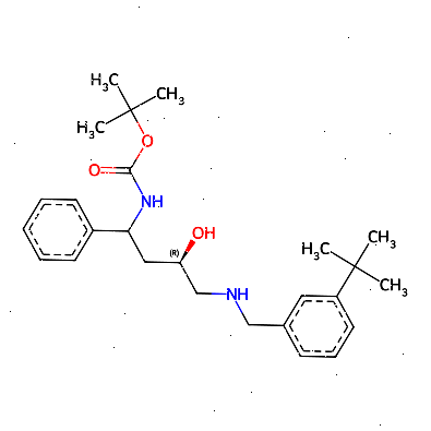 CC(C)(C)OC(=O)NC(C[C@@H](O)CNCc1cccc(C(C)(C)C)c1)c1ccccc1